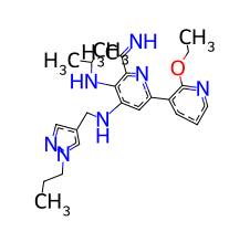 CCCn1cc(CNc2cc(-c3cccnc3OCC)nc(C(C)=N)c2NC(C)C)cn1